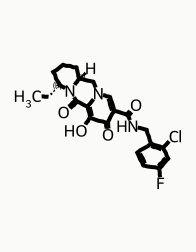 CC[C@@H]1CCC[C@@H]2Cn3cc(C(=O)NCc4ccc(F)cc4Cl)c(=O)c(O)c3C(=O)N12